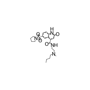 CCCCN(C)CCNC(=O)c1cc(=O)[nH]c2ccc(S(=O)(=O)N3CCCC3)cc12